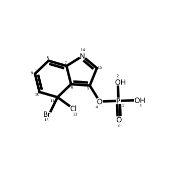 O=P(O)(O)OC1=C2C(=CC=CC2(Cl)Br)N=C1